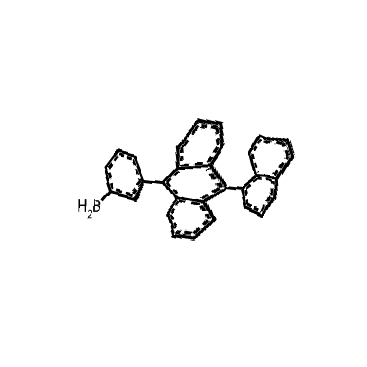 Bc1cccc(-c2c3ccccc3c(-c3cccc4ccccc34)c3ccccc23)c1